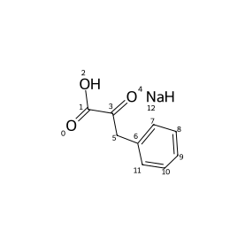 O=C(O)C(=O)Cc1ccccc1.[NaH]